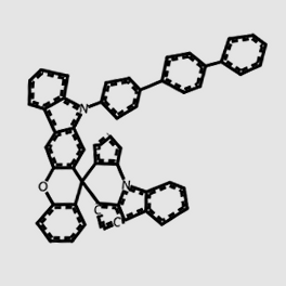 c1ccc(-c2ccc(-c3ccc(-n4c5ccccc5c5cc6c(cc54)C4(c5ccccc5O6)c5ccccc5-n5c6ccccc6c6cccc4c65)cc3)cc2)cc1